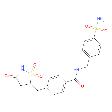 NS(=O)(=O)c1ccc(CNC(=O)c2ccc(CC3CC(=O)NS3(=O)=O)cc2)cc1